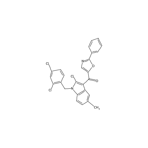 Cc1ccc2c(c1)c(C(=O)c1cnc(-c3ccccc3)o1)c(Cl)n2Cc1ccc(Cl)cc1Cl